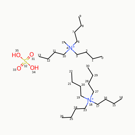 CCCC[N+](C)(CCCC)CCCC.CCCC[N+](CCCC)(CCCC)CCCC.O=S(=O)(O)O